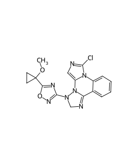 COC1(c2nc(N3CN=C4c5ccccc5-n5c(cnc5Cl)N43)no2)CC1